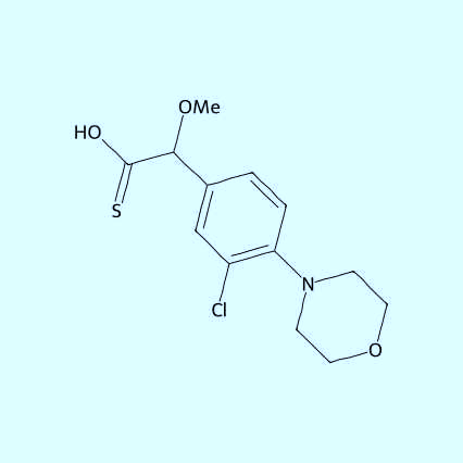 COC(C(O)=S)c1ccc(N2CCOCC2)c(Cl)c1